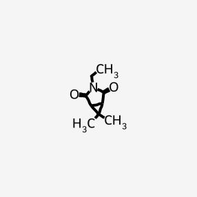 CCN1C(=O)C2C(C1=O)C2(C)C